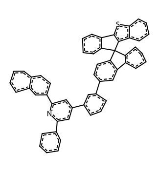 c1ccc(-c2cc(-c3cccc(-c4ccc5c(c4)-c4ccccc4C54c5ccccc5-c5sc6ccccc6c54)c3)cc(-c3ccc4ccccc4c3)n2)cc1